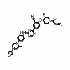 CC1CN(C2COC2)CCN1c1ccc(Nc2ncnc(-c3ccc(O[C@H]4CCN(C(=O)CC#N)C[C@H]4F)c(C#N)c3)n2)cc1